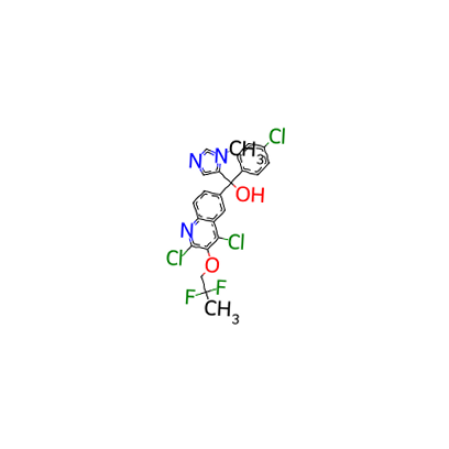 Cn1cncc1C(O)(c1ccc(Cl)cc1)c1ccc2nc(Cl)c(OCC(C)(F)F)c(Cl)c2c1